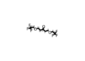 O=C(CCOCC(F)(F)F)CCOCC(F)(F)F